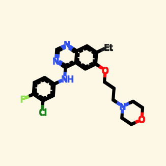 CCc1cc2ncnc(Nc3ccc(F)c(Cl)c3)c2cc1OCCCN1CCOCC1